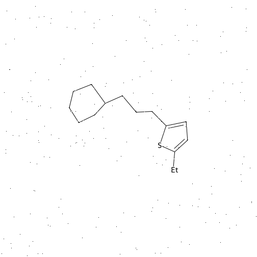 CCc1ccc(CCCC2CCCCC2)s1